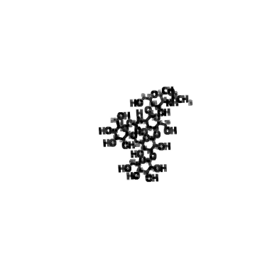 CC(=O)NC1C(C)OC(CO)[C@@H](O[C@@H]2OC(CO)[C@@H](O[C@@H]3OC(CO[C@H]4OC(CO)[C@@H](O)[C@H](O)C4O)[C@@H](O)[C@H](O[C@H]4O[C@H](CO)[C@@H](O)C(O)C4O)C3O)[C@H](O)C2NC(C)=O)[C@@H]1O